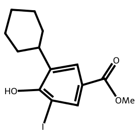 COC(=O)c1cc(I)c(O)c(C2CCCCC2)c1